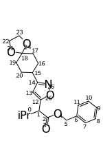 CC(C)C(C(=O)OCc1ccccc1)c1cc(C2CCC3(CC2)OCCO3)no1